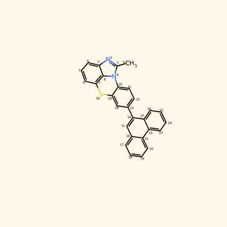 Cc1nc2cccc3c2n1-c1ccc(-c2cc4ccccc4c4ccccc24)cc1S3